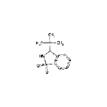 CC(C)(C)C1NS(=O)(=O)c2ccccc21